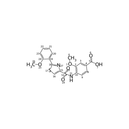 COc1cc(C(=O)O)ccc1NS(=O)(=O)c1csc(-c2ccccc2OC)n1